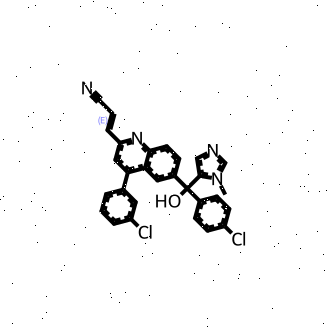 Cn1cncc1C(O)(c1ccc(Cl)cc1)c1ccc2nc(/C=C/C#N)cc(-c3cccc(Cl)c3)c2c1